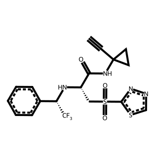 C#CC1(NC(=O)[C@H](CS(=O)(=O)c2nncs2)N[C@@H](c2ccccc2)C(F)(F)F)CC1